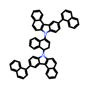 C1=C(n2c3ccc(-c4cccc5ccccc45)cc3c3c4ccccc4ccc32)c2ccccc2C(n2c3ccc(-c4cccc5ccccc45)cc3c3c4ccccc4ccc32)C1